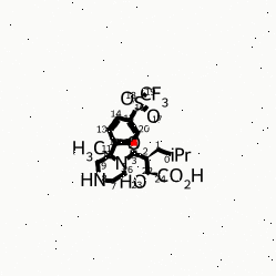 CC(C)C[C@H](C(=O)N1CCNC[C@@]1(C)c1ccc(S(=O)(=O)C(F)(F)F)cc1)[C@H](O)C(=O)O